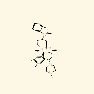 CN1CCN(C2CCN(C3(CC=O)CC(n4c(=O)[nH]c5ccccc54)CC[N@+]3(Cc3ccc(Br)c(Br)c3)C(=O)[O-])CC2)CC1